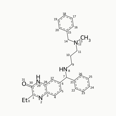 CCc1nc2ccc(C(NCCCN(C)Cc3ccccc3)c3ccccc3)cc2[nH]c1=O